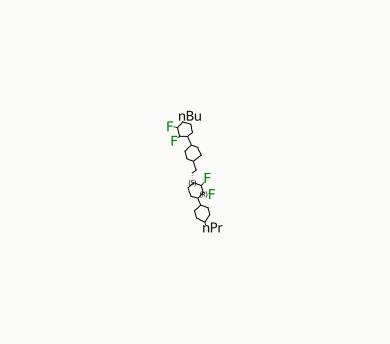 CCCCC1CCC(C2CCC(CC[C@H]3CCC(C4CCC(CCC)CC4)[C@@H](F)C3F)CC2)C(F)C1F